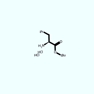 CC(C)C[C@H](N)C(=O)OC(C)(C)C.Cl.Cl